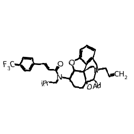 C=CCN1CC[C@]23c4c5cccc4OC2C(N(CC(C)C)C(=O)/C=C/c2ccc(C(F)(F)F)cc2)CC[C@@]3(OC(C)=O)[C@H]1C5